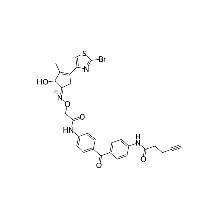 C#CCCC(=O)Nc1ccc(C(=O)c2ccc(NC(=O)CO/N=C3\CC(c4csc(Br)n4)=C(C)C3O)cc2)cc1